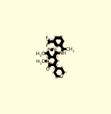 Cc1nnc(NC(C)c2cccc(C(F)F)c2)c2cc(C3CCOCC3)c(=O)n(C)c12